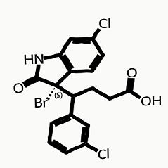 O=C(O)CCC(c1cccc(Cl)c1)[C@@]1(Br)C(=O)Nc2cc(Cl)ccc21